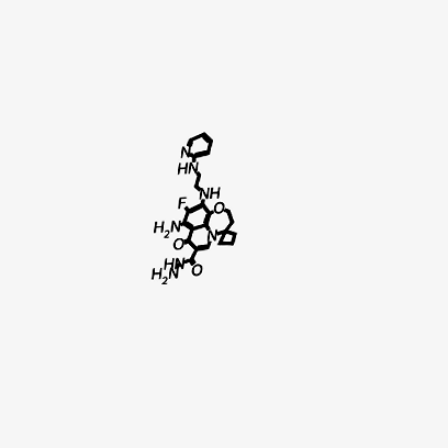 NNC(=O)c1cn2c3c(c(NCCNc4ccccn4)c(F)c(N)c3c1=O)OCCC21CCC1